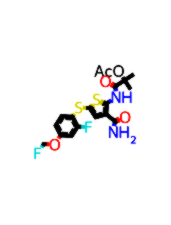 CC(=O)OC(C)(C)C(=O)Nc1sc(Sc2ccc(OCF)cc2F)cc1C(N)=O